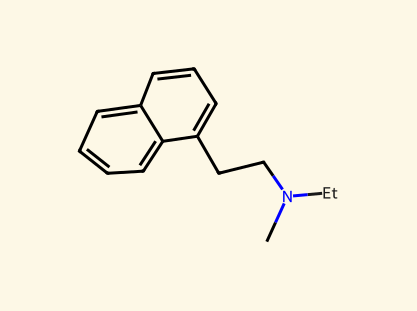 CCN(C)CCc1cccc2ccccc12